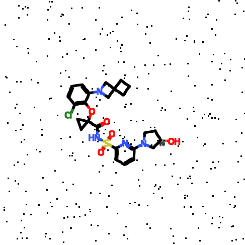 O=C(NS(=O)(=O)c1cccc(N2CC[C@H](O)C2)n1)C1(Oc2c(Cl)cccc2N2CC3(CCC3)C2)CC1